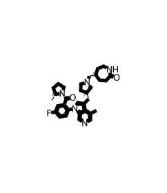 Cc1cncc2c1c(C[C@@H]1CCN(C[C@@H]3CCNC(=O)CC3)C1)cn2-c1ccc(F)cc1C(=O)N1CCC[C@H]1C